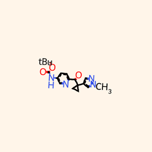 Cn1cc(C2(C(=O)c3ccc(NC(=O)OC(C)(C)C)cn3)CC2)cn1